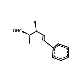 C[C@@H](C=O)[C@@H](C)/C=C/c1ccccc1